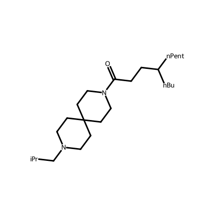 CCCCCC(CCCC)CCC(=O)N1CCC2(CCN(CC(C)C)CC2)CC1